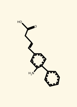 Nc1cc(C=CCC(=O)O)ccc1-c1ccccc1